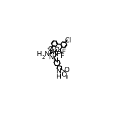 CCOC(=O)[C@@H]1CC2(CCN(c3cc(O[C@H](c4ccc(Cl)cc4-c4cccc(OC)c4)C(F)(F)F)nc(N)n3)CC2)CN1